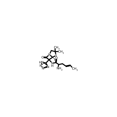 CC=CCC(N)C(=O)NC1(c2nnn[nH]2)C(=O)N2CC(C)(C)S[C@H]21